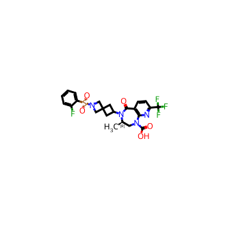 C[C@@H]1CN(C(=O)O)c2nc(C(F)(F)F)ccc2C(=O)N1C1CC2(C1)CN(S(=O)(=O)c1ccccc1F)C2